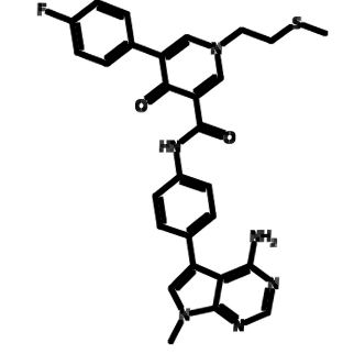 CSCCn1cc(C(=O)Nc2ccc(-c3cn(C)c4ncnc(N)c34)cc2)c(=O)c(-c2ccc(F)cc2)c1